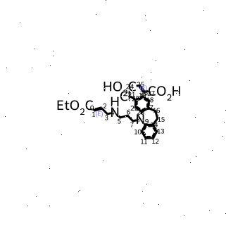 CCOC(=O)/C=C/CNCCCN1c2ccccc2CCc2ccc(Cl)cc21.O=C(O)/C=C/C(=O)O